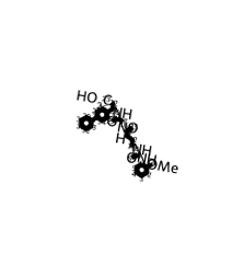 COc1ccccc1NC(=O)NCCCC(=O)NCC(=O)NC(CC(=O)O)c1ccc(-c2ccccc2)cc1